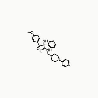 COc1ccc(C(=O)C(N)(C(=O)NCC2CCN(c3ccncc3)CC2)c2ccccc2)cc1